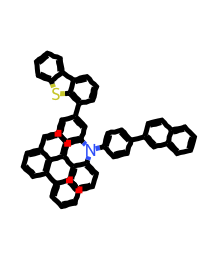 c1ccc(-c2cccc3cccc(-c4ccccc4N(c4ccc(-c5ccc6ccccc6c5)cc4)c4cccc(-c5cccc6c5sc5ccccc56)c4)c23)cc1